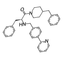 O=C([C@H](Cc1ccccc1)NCc1ccc(-c2ccccn2)cc1)N1CCC(Cc2ccccc2)CC1